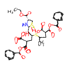 CCOC(=O)[C@@H]1CSC(CC(CC(C(=O)O)C(=O)OC(=O)c2ccccc2)SC(C)CC(C(=O)O)C(=O)OC(=O)c2ccccc2)N1